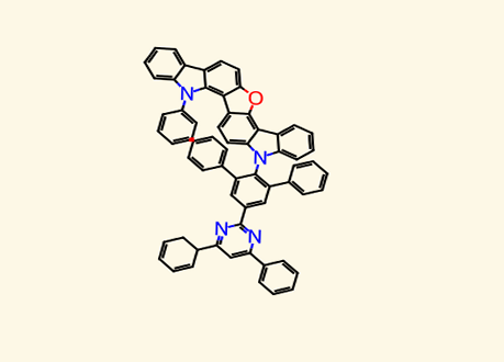 C1=CCC(c2cc(-c3ccccc3)nc(-c3cc(-c4ccccc4)c(-n4c5ccccc5c5c6oc7ccc8c9ccccc9n(-c9ccccc9)c8c7c6ccc54)c(-c4ccccc4)c3)n2)C=C1